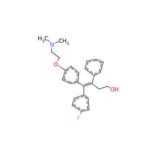 CN(C)CCOc1ccc(/C(=C(/CCO)c2ccccc2)c2ccc(F)cc2)cc1